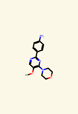 CCOc1cnc(-c2ccc(N)cc2)nc1N1CCOCC1